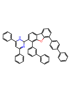 C1=C(c2ccccc2)NC(c2ccc3c(oc4c(-c5ccc(-c6ccccc6)cc5)cccc43)c2-c2cccc(-c3ccccc3)c2)N=C1c1ccccc1